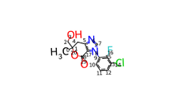 CC1(CO)Cc2ncn(-c3cccc(Cl)c3F)c2C(=O)O1